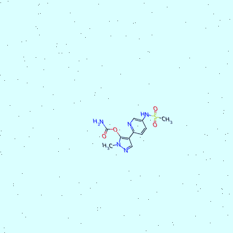 Cn1ncc(-c2ccc(NS(C)(=O)=O)cn2)c1OC(N)=O